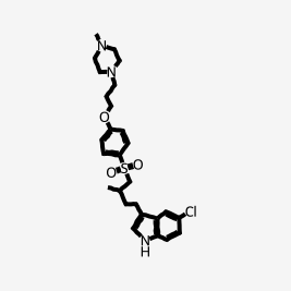 CC(CCc1c[nH]c2ccc(Cl)cc12)CS(=O)(=O)c1ccc(OCCCN2CCN(C)CC2)cc1